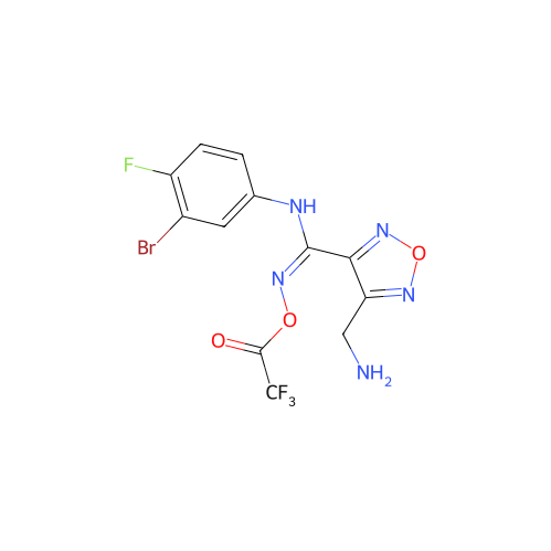 NCc1nonc1C(=NOC(=O)C(F)(F)F)Nc1ccc(F)c(Br)c1